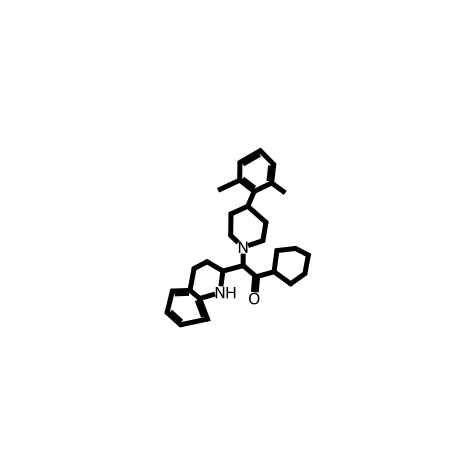 Cc1cccc(C)c1C1CCN(C(C(=O)C2CCCCC2)C2CCc3ccccc3N2)CC1